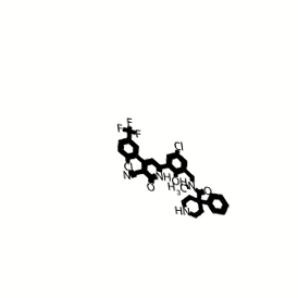 CN(Cc1cc(Cl)cc(-c2cc(-c3cc(C(F)(F)F)ccc3Cl)c(C#N)c(=O)[nH]2)c1O)C(=O)C1(c2ccccc2)CCNCC1